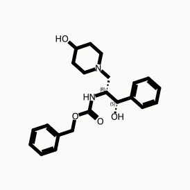 O=C(N[C@H](CN1CCC(O)CC1)[C@@H](O)c1ccccc1)OCc1ccccc1